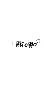 NC1(C(=O)O)CN(Cc2ccc(N3CCN(c4cccc(C5CCCCC5)c4)C3=O)cc2)C1